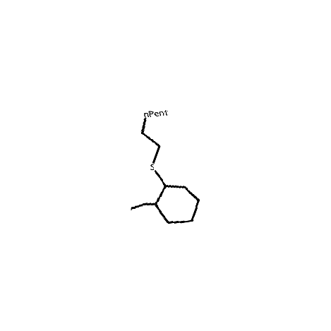 CCCCCCCSC1CCCCC1C